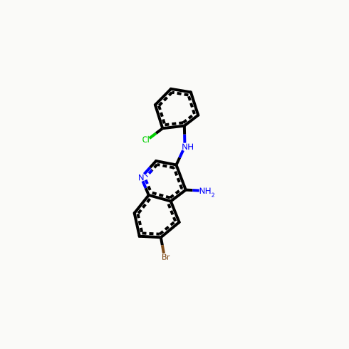 Nc1c(Nc2ccccc2Cl)cnc2ccc(Br)cc12